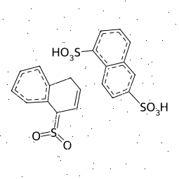 O=S(=O)(O)c1ccc2c(S(=O)(=O)O)cccc2c1.O=S(=O)=C1C=CCc2ccccc21